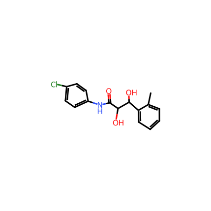 Cc1ccccc1C(O)C(O)C(=O)Nc1ccc(Cl)cc1